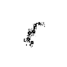 Cc1c(-c2nc3cc(CN4CCC[C@@H]4C(=O)O)c(OC(F)F)cc3o2)cccc1-c1cccc(-c2nc3cc(CN4CC(C)(C)C4)cnc3o2)c1C